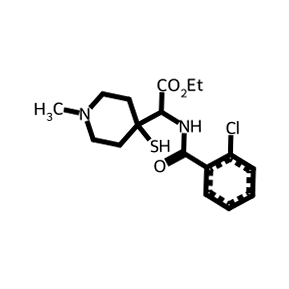 CCOC(=O)C(NC(=O)c1ccccc1Cl)C1(S)CCN(C)CC1